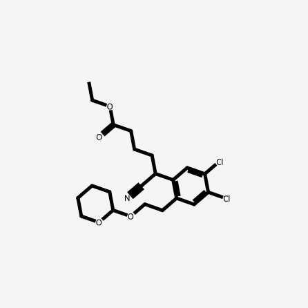 CCOC(=O)CCCC(C#N)c1cc(Cl)c(Cl)cc1CCOC1CCCCO1